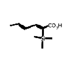 C/C=C/C=C(/C(=O)O)[Si](C)(C)C